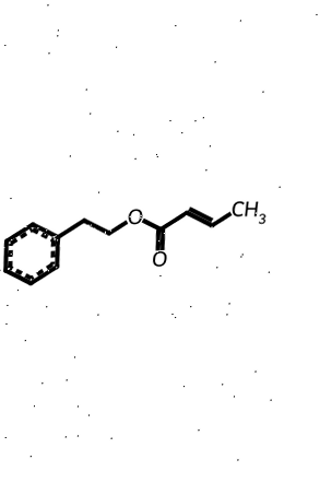 CC=CC(=O)OCCc1cc[c]cc1